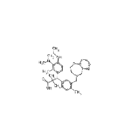 CCNc1ccc(C(c2ccc(C)c(CN3CCOc4cccnc4C3)c2)C(C)(C)C(=O)O)c(C)c1N(C)C